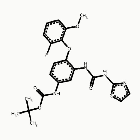 COc1cccc(F)c1Oc1ccc(NC(=O)OC(C)(C)C)cc1NC(=O)Nc1nccs1